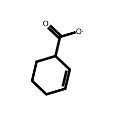 [O]C(=O)C1C=CCCC1